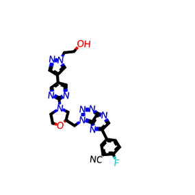 N#Cc1cc(-c2cnc3nnn(CC4CN(c5ncc(-c6cnn(CCO)c6)cn5)CCO4)c3n2)ccc1F